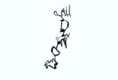 O=C(O)c1ccc(-c2nnc(-c3ccc(-n4cncn4)cc3)o2)cc1